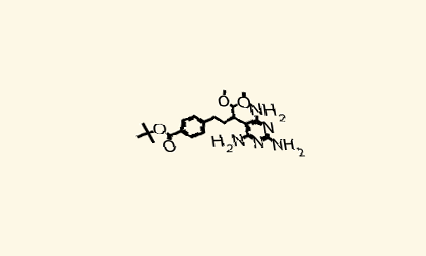 COC(OC)C(CCc1ccc(C(=O)OC(C)(C)C)cc1)c1c(N)nc(N)nc1N